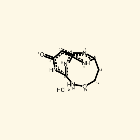 Cl.O=c1[nH]c2nc3nc([nH]c13)CCON2